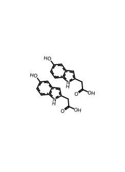 O=C(O)Cc1cc2cc(O)ccc2[nH]1.O=C(O)Cc1cc2cc(O)ccc2[nH]1